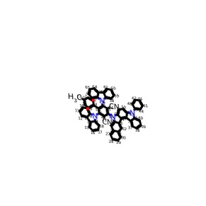 Cc1ccc(-c2c(-n3c4ccccc4c4ccccc43)c(C#N)c(-n3c4cc5ccccc5cc4c4c5c6ccccc6n(-c6ccccc6)c5ccc43)c(C#N)c2-n2c3ccccc3c3ccccc32)cc1